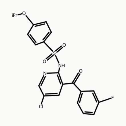 CC(C)Oc1ccc(S(=O)(=O)Nc2ncc(Cl)cc2C(=O)c2cccc(F)c2)cc1